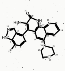 Nc1c(-c2ccc(F)c3[nH]ncc23)c2cc(N3CCOCC3)c3cccnc3c2[nH]c1=O